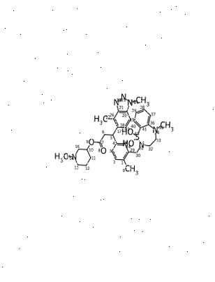 Cc1ccc(C(CC(=O)OC2CCCN(C)C2)c2ccc3c(nnn3C)c2C)cc1CN1CCN(C)c2ccccc2S1(O)O